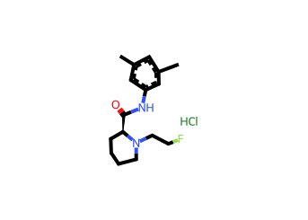 Cc1cc(C)cc(NC(=O)[C@@H]2CCCCN2CCF)c1.Cl